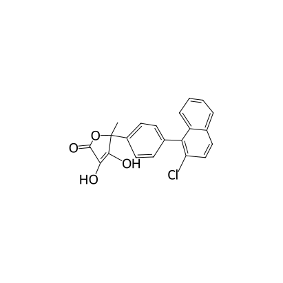 CC1(c2ccc(-c3c(Cl)ccc4ccccc34)cc2)OC(=O)C(O)=C1O